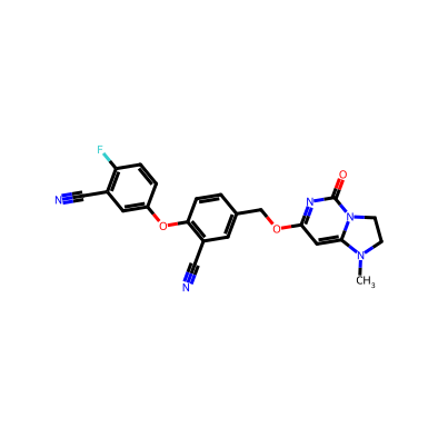 CN1CCn2c1cc(OCc1ccc(Oc3ccc(F)c(C#N)c3)c(C#N)c1)nc2=O